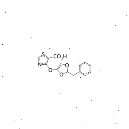 O=C(O)c1scnc1OC1=COC(Cc2ccccc2)O1